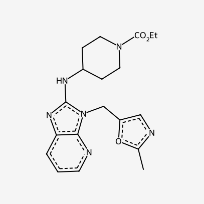 CCOC(=O)N1CCC(Nc2nc3cccnc3n2Cc2cnc(C)o2)CC1